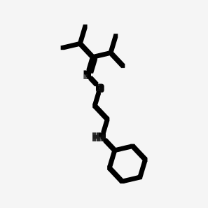 CC(C)C(=NOCCNC1CCCCC1)C(C)C